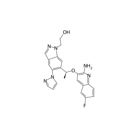 C[C@H](Oc1cc2cc(F)ccc2nc1N)c1cc2c(cnn2CCO)cc1-n1cccn1